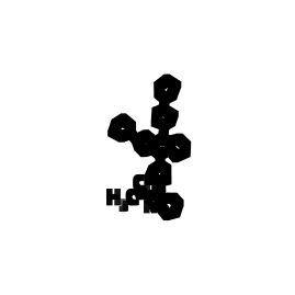 CC(C)c1nc2ccccc2n1-c1ccc(-c2c3ccccc3c(-c3ccc(-c4ccccc4)cc3)c3cc(-c4ccccc4)ccc23)cc1